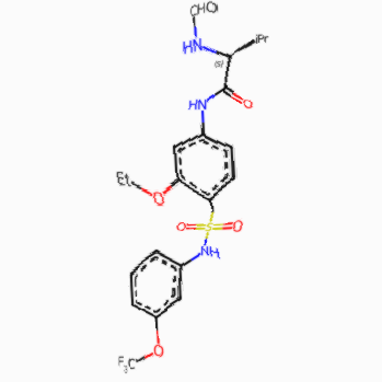 CCOc1cc(NC(=O)[C@@H](NC=O)C(C)C)ccc1S(=O)(=O)Nc1cccc(OC(F)(F)F)c1